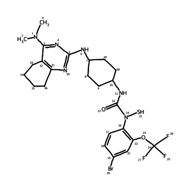 CN(C)c1nc(NC2CCC(NC(=O)N(S)c3ccc(Br)cc3OC(F)(F)F)CC2)nc2c1CCCC2